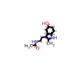 CC(=O)NCCc1c(C)[nH]c2ccc(O)cc12